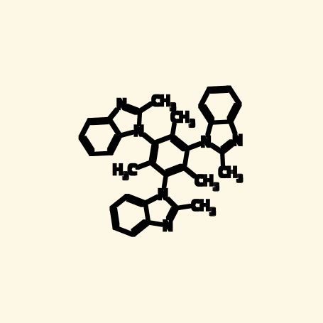 Cc1c(-n2c(C)nc3ccccc32)c(C)c(-n2c(C)nc3ccccc32)c(C)c1-n1c(C)nc2ccccc21